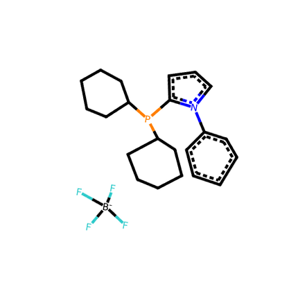 F[B-](F)(F)F.c1ccc(-n2cccc2P(C2CCCCC2)C2CCCCC2)cc1